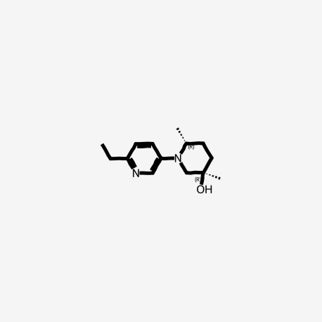 CCc1ccc(N2C[C@](C)(O)CC[C@H]2C)cn1